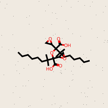 CCCCCCC(C)(C)C(OC(C(=O)O)(C1CO1)C(C)(C)CCCCCC)(C(=O)O)C1CO1